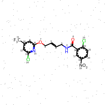 O=C(NCC=CCOc1cc(C(F)(F)F)cc(Cl)n1)c1cc([N+](=O)[O-])ccc1Cl